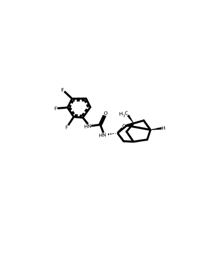 C[C@]12CC3C[C@@H](C1)C[C@@](NC(=O)Nc1ccc(F)c(F)c1F)(C3)O2